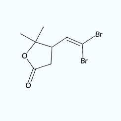 CC1(C)OC(=O)CC1C=C(Br)Br